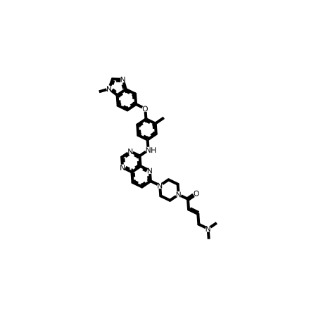 Cc1cc(Nc2ncnc3ccc(N4CCN(C(=O)/C=C/CN(C)C)CC4)nc23)ccc1Oc1ccc2c(c1)ncn2C